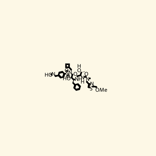 COCc1nc(CN(C)C(=O)N[C@H](C(=O)N[C@@H](Cc2ccccc2)[C@H](O)CN(CC2CCC2)S(=O)(=O)c2ccc(C=NO)cc2)[C@@H](C)O)cs1